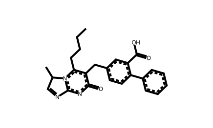 CCCCc1c(Cc2ccc(-c3ccccc3)c(C(=O)O)c2)c(=O)nc2n1C(C)C=N2